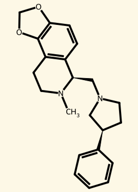 CN1CCc2c(ccc3c2OCO3)[C@H]1CN1CC[C@@H](c2ccccc2)C1